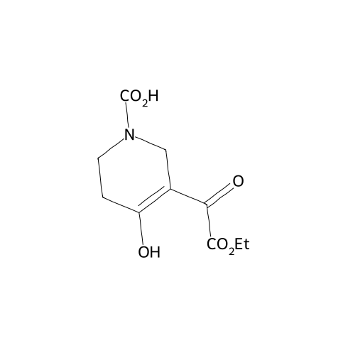 CCOC(=O)C(=O)C1=C(O)CCN(C(=O)O)C1